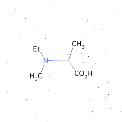 CCN(C)[C@H](C)C(=O)O